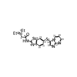 CCN(CC)CC(=O)Nc1nc2ccc(Sc3cnc4ncccn34)cc2s1